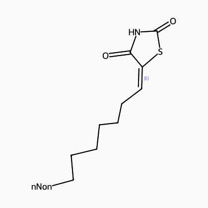 CCCCCCCCCCCCCCC/C=C1/SC(=O)NC1=O